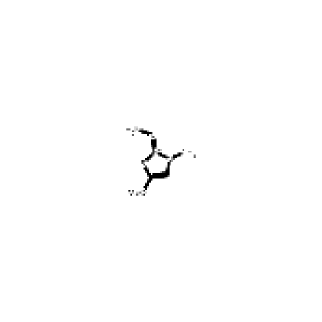 COC1=CN(C)[N+](=NN)S1